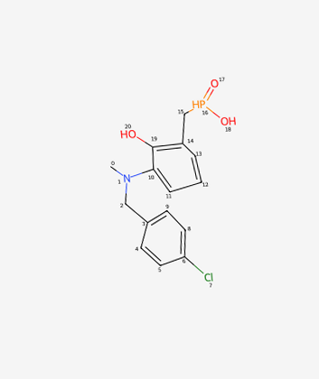 CN(Cc1ccc(Cl)cc1)c1cccc(C[PH](=O)O)c1O